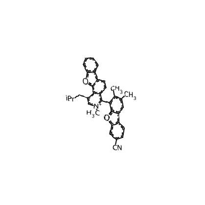 Cc1cc2c(oc3cc(C#N)ccc32)c(-c2c3ccc4c5ccccc5oc4c3c(CC(C)C)c[n+]2C)c1C